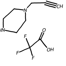 C#CCN1CCNCC1.O=C(O)C(F)(F)F